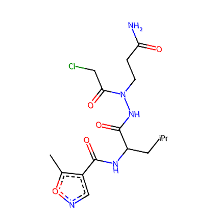 Cc1oncc1C(=O)NC(CC(C)C)C(=O)NN(CCC(N)=O)C(=O)CCl